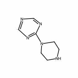 [c]1ncnc(N2CCNCC2)n1